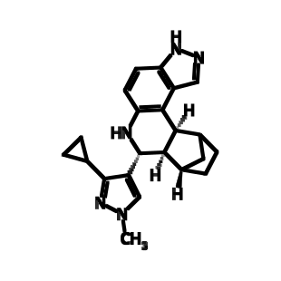 Cn1cc([C@@H]2Nc3ccc4[nH]ncc4c3[C@H]3C4CC[C@@H](C4)[C@@H]23)c(C2CC2)n1